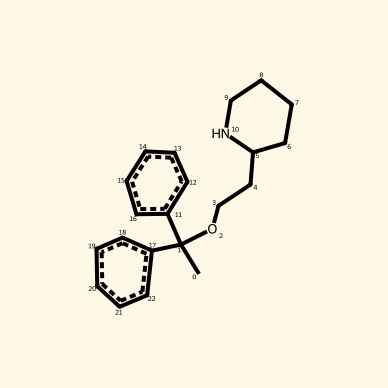 CC(OCCC1CCCCN1)(c1ccccc1)c1ccccc1